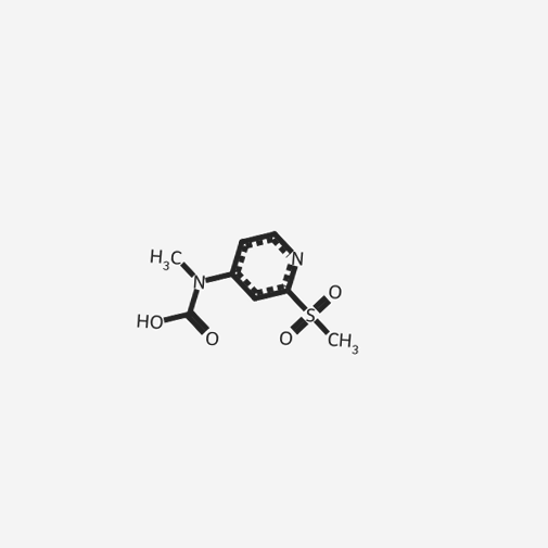 CN(C(=O)O)c1ccnc(S(C)(=O)=O)c1